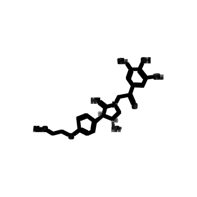 CCC[C@H]1CN(CC(=O)c2cc(C(C)(C)C)c(O)c(C(C)(C)C)c2)C(=N)[C@@H]1c1ccc(OCCOC)cc1